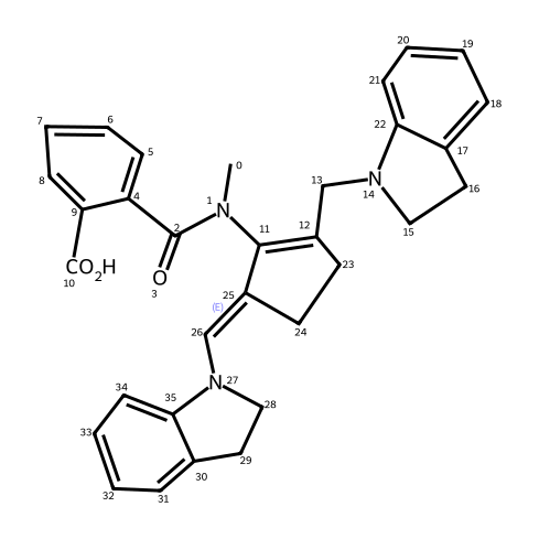 CN(C(=O)c1ccccc1C(=O)O)C1=C(CN2CCc3ccccc32)CC/C1=C\N1CCc2ccccc21